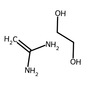 C=C(N)N.OCCO